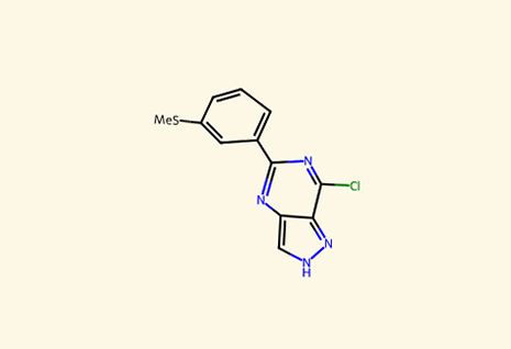 CSc1cccc(-c2nc(Cl)c3n[nH]cc3n2)c1